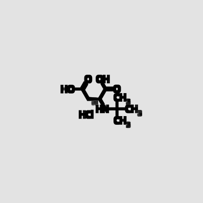 CC(C)(C)N[C@@H](CC(=O)O)C(=O)O.Cl